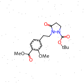 COC(=O)c1ccc(CCN2C(=O)CCN2C(=O)OC(C)(C)C)cc1OC